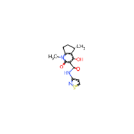 C[C@H]1CCc2c1c(O)c(C(=O)Nc1ccsn1)c(=O)n2C